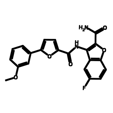 COc1cccc(-c2ccc(C(=O)Nc3c(C(N)=O)oc4ccc(F)cc34)o2)c1